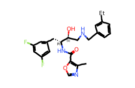 CCc1cccc(CNC[C@H](O)[C@@H](Cc2cc(F)cc(F)c2)NC(=O)c2ocnc2C)c1